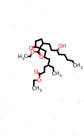 CCCCCC(O)CCC1CCC(=O)C1(CCCC(CC)CCC(=O)OCC)C(=O)OCC